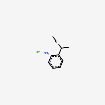 Cl.N.[CH3][Mg][CH](C)c1ccccc1